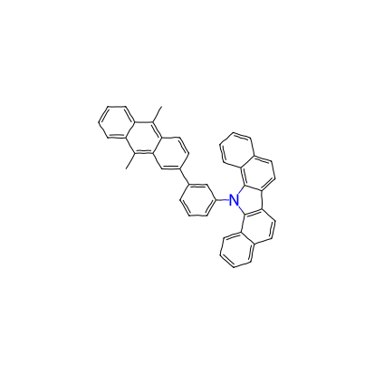 Cc1c2ccccc2c(C)c2cc(-c3cccc(-n4c5c6ccccc6ccc5c5ccc6ccccc6c54)c3)ccc12